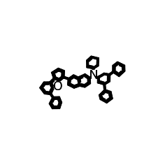 C1=CCCC(N(c2ccc3ccc(-c4cccc5c4oc4c(-c6ccccc6)cccc45)cc3c2)C2C=C(c3ccccc3)C=C(c3ccccc3)C2)=C1